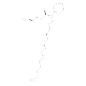 C=CCCC(=O)C(CSCCCCCCCCCCCC)C1CCCCC1